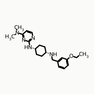 CCOc1cccc(CN[C@H]2CC[C@@H](Nc3nccc(N(C)C)n3)CC2)c1